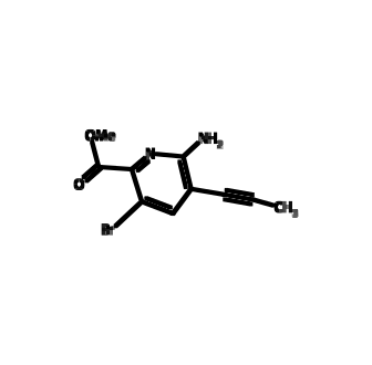 CC#Cc1cc(Br)c(C(=O)OC)nc1N